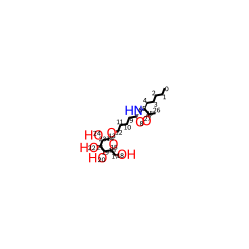 CCCCC[C@H](NC(=O)CCCCOC1OC(CO)C(O)C(O)C1O)C(C)=O